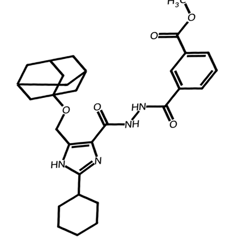 COC(=O)c1cccc(C(=O)NNC(=O)c2nc(C3CCCCC3)[nH]c2COC23CC4CC(CC(C4)C2)C3)c1